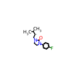 CC(C)[CH]CN1CCN(c2ccc(F)cc2)C1=O